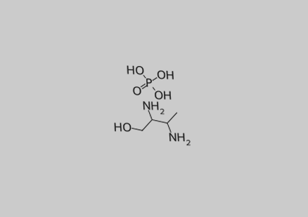 CC(N)C(N)CO.O=P(O)(O)O